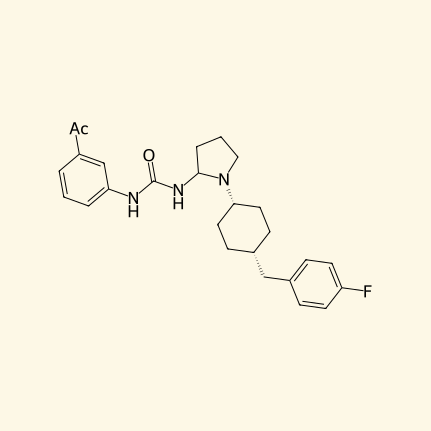 CC(=O)c1cccc(NC(=O)NC2CCCN2[C@H]2CC[C@@H](Cc3ccc(F)cc3)CC2)c1